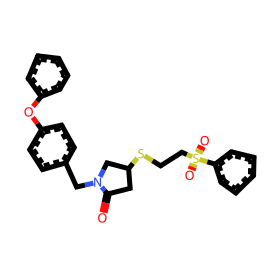 O=C1CC(SCCS(=O)(=O)c2ccccc2)CN1Cc1ccc(Oc2ccccc2)cc1